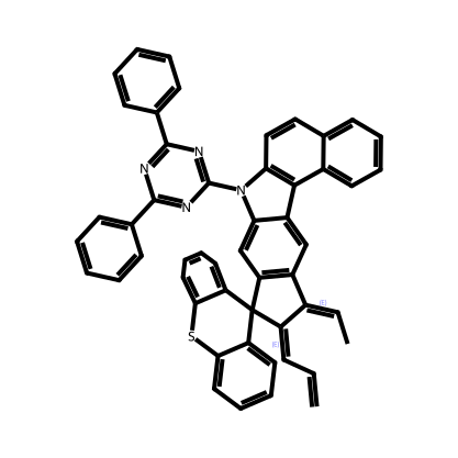 C=C/C=C1\C(=C/C)c2cc3c4c5ccccc5ccc4n(-c4nc(-c5ccccc5)nc(-c5ccccc5)n4)c3cc2C12c1ccccc1Sc1ccccc12